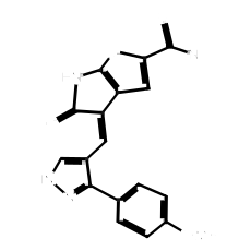 COc1ccc(-c2n[nH]cc2/C=C2\C(=O)Nc3sc(C(N)=O)cc32)cc1